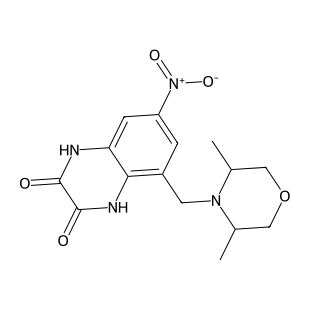 CC1COCC(C)N1Cc1cc([N+](=O)[O-])cc2[nH]c(=O)c(=O)[nH]c12